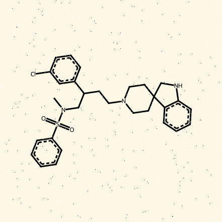 CN(CC(CCN1CCC2(CC1)CNc1ccccc12)c1cccc(Cl)c1)S(=O)(=O)c1ccccc1